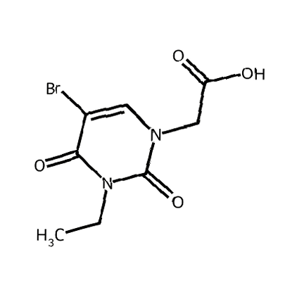 CCn1c(=O)c(Br)cn(CC(=O)O)c1=O